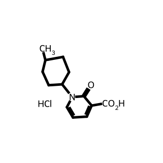 CC1CCC(n2cccc(C(=O)O)c2=O)CC1.Cl